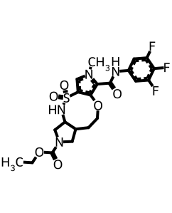 CCOC(=O)N1CC2CCOc3c(cn(C)c3C(=O)Nc3cc(F)c(F)c(F)c3)S(=O)(=O)NC2C1